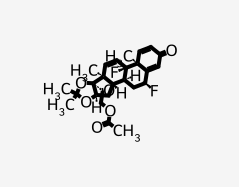 CC(=O)OCC(=O)[C@@]12OC(C)(C)O[C@@H]1C[C@H]1[C@@H]3C[C@H](F)C4=CC(=O)C=C[C@]4(C)[C@@]3(F)C=C[C@@]12C